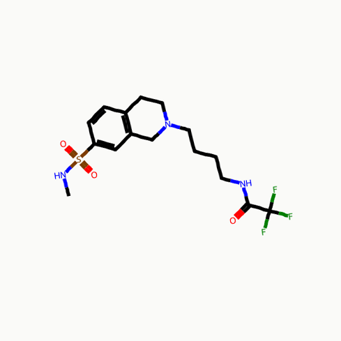 CNS(=O)(=O)c1ccc2c(c1)CN(CCCCNC(=O)C(F)(F)F)CC2